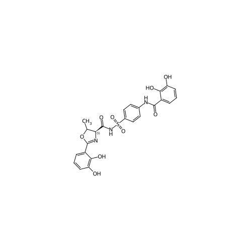 CC1OC(c2cccc(O)c2O)=N[C@@H]1C(=O)NS(=O)(=O)c1ccc(NC(=O)c2cccc(O)c2O)cc1